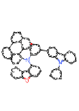 c1ccc(-c2cccc3cccc(-c4ccccc4N(c4cccc(-c5ccc6c7ccccc7n(-c7ccccc7)c6c5)c4)c4cccc5oc6ccccc6c45)c23)cc1